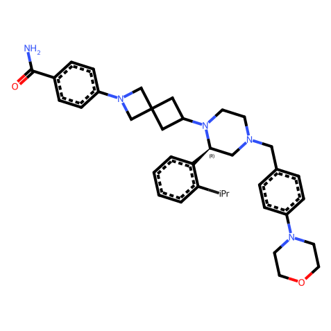 CC(C)c1ccccc1[C@@H]1CN(Cc2ccc(N3CCOCC3)cc2)CCN1C1CC2(C1)CN(c1ccc(C(N)=O)cc1)C2